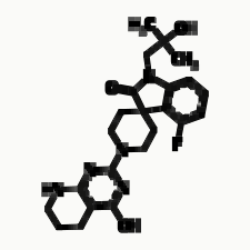 CC(C)(O)CN1C(=O)C2(CCN(c3nc(O)c4c(n3)NCCC4)CC2)c2c(F)cccc21